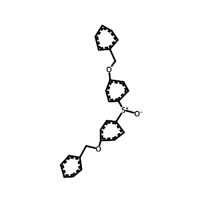 [O-][S+](c1ccc(OCc2ccccc2)cc1)c1ccc(OCc2ccccc2)cc1